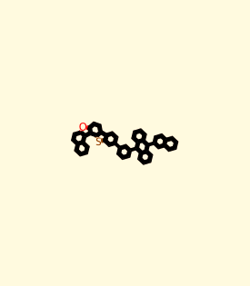 c1cc(-c2ccc3c(c2)sc2c3ccc3oc4ccc5ccccc5c4c32)cc(-c2c3ccccc3c(-c3ccc4ccccc4c3)c3ccccc23)c1